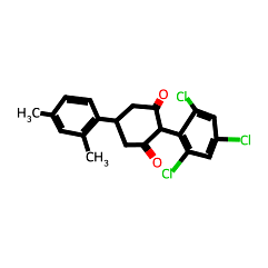 Cc1ccc(C2CC(=O)C(c3c(Cl)cc(Cl)cc3Cl)C(=O)C2)c(C)c1